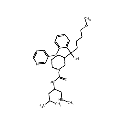 CNCC(CC(C)C)NC(=O)N1CCCC(C(O)(CCCCOC)c2ccccc2Oc2cccnc2)C1